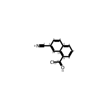 N#Cc1ccc2cccc(C(=O)Cl)c2c1